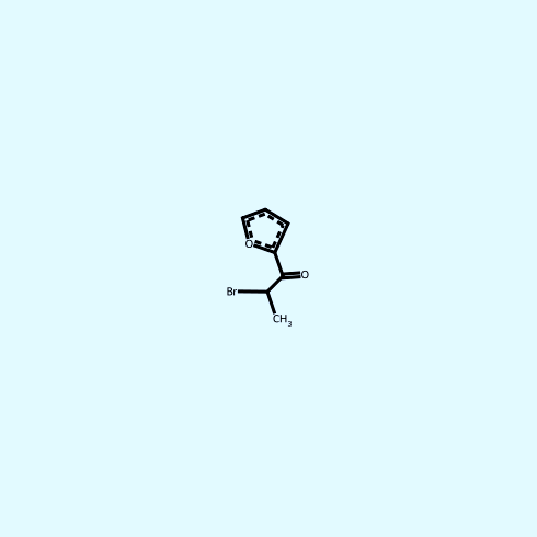 CC(Br)C(=O)c1ccco1